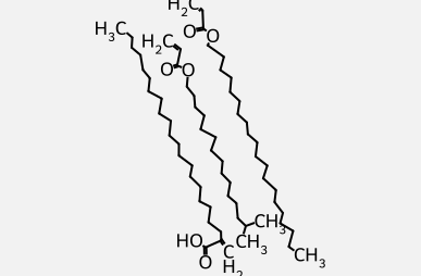 C=C(CCCCCCCCCCCCCCCCCCCC)C(=O)O.C=CC(=O)OCCCCCCCCCCCCCC(C)C.C=CC(=O)OCCCCCCCCCCCCCCCCCCCC